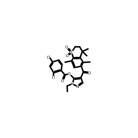 CCn1ncc(C(=O)c2cc(C)c3c(c2C)C(C)(C)CCS3(=O)=O)c1OC(=O)c1ccc(Cl)cc1Cl